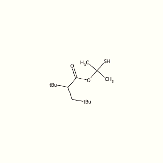 CC(C)(C)CC(C(=O)OC(C)(C)S)C(C)(C)C